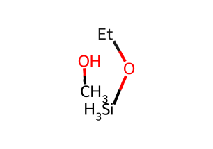 CCO[SiH3].CO